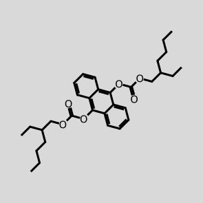 CCCCC(CC)COC(=O)Oc1c2ccccc2c(OC(=O)OCC(CC)CCCC)c2ccccc12